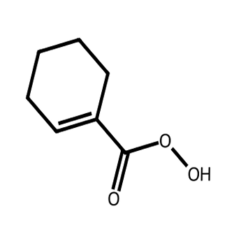 O=C(OO)C1=CCCCC1